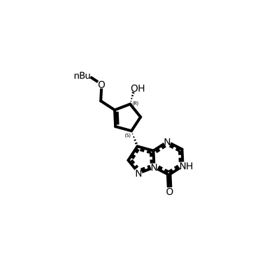 CCCCOCC1=C[C@@H](c2cnn3c(=O)[nH]cnc23)C[C@H]1O